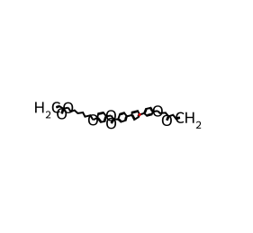 C=CCC(=O)CCOc1ccc(-c2ccc(-c3ccc(C(=O)Oc4ccc(OCCCCCCOC(=O)C=C)cc4)cc3)cc2)cc1